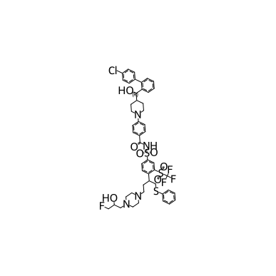 O=C(NS(=O)(=O)c1ccc(C(CCN2CCN(CC(O)CF)CC2)CSc2ccccc2)c(S(=O)(=O)C(F)(F)F)c1)c1ccc(N2CCC([C@@H](O)c3ccccc3-c3ccc(Cl)cc3)CC2)cc1